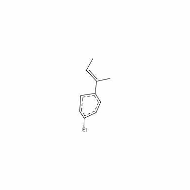 CC=C(C)c1ccc(CC)cc1